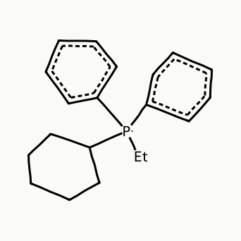 CC[P](c1ccccc1)(c1ccccc1)C1CCCCC1